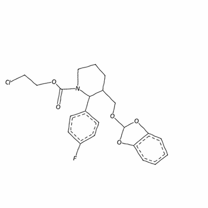 O=C(OCCCl)N1CCCC(COC2Oc3ccccc3O2)C1c1ccc(F)cc1